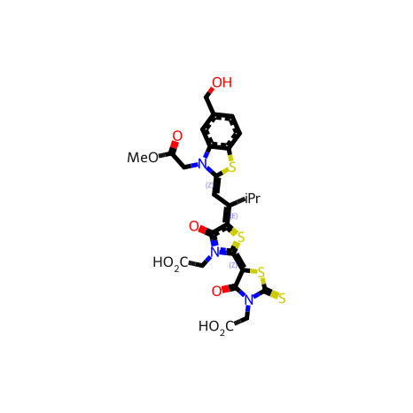 COC(=O)CN1/C(=C/C(=c2/s/c(=C3\SC(=S)N(CC(=O)O)C3=O)n(CC(=O)O)c2=O)C(C)C)Sc2ccc(CO)cc21